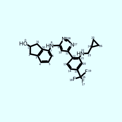 OC1Cc2cccc(Nc3cc(-c4ccc(C(F)(F)F)cc4NCC4CC4)ncn3)c2C1